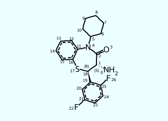 N[C@H]1C(=O)N(C2CCCCC2)c2ccccc2S[C@@H]1c1cc(F)ccc1F